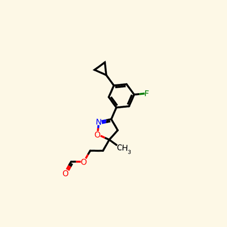 CC1(CCOC=O)CC(c2cc(F)cc(C3CC3)c2)=NO1